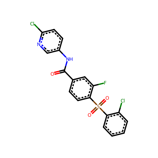 O=C(Nc1ccc(Cl)nc1)c1ccc(S(=O)(=O)c2ccccc2Cl)c(F)c1